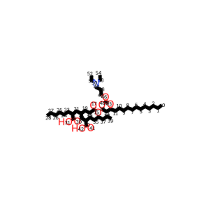 CCCCCCCCCCCCC(CCOC(=O)CCC(CC(CCCCCC)C(=O)O)CC(CCCCCC)C(=O)O)OC(=O)OCCCN(CC)CC